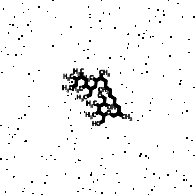 C=C(CCCCCCCC(C)C(C)CC(CC)C(C)CC(C)C(C)CC)COC(CO)C(C)C(C)C(O)COC